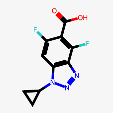 O=C(O)c1c(F)cc2c(nnn2C2CC2)c1F